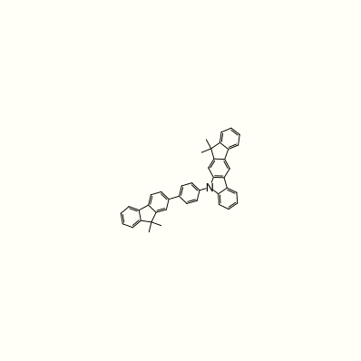 CC1(C)c2ccccc2-c2ccc(-c3ccc(-n4c5ccccc5c5cc6c(cc54)C(C)(C)c4ccccc4-6)cc3)cc21